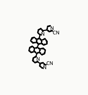 N#Cc1cc(-c2cccc(-c3c4ccccc4c(-c4c5ccccc5c(-c5cccc(-c6ccnc(C#N)c6)n5)c5ccccc45)c4ccccc34)n2)ccn1